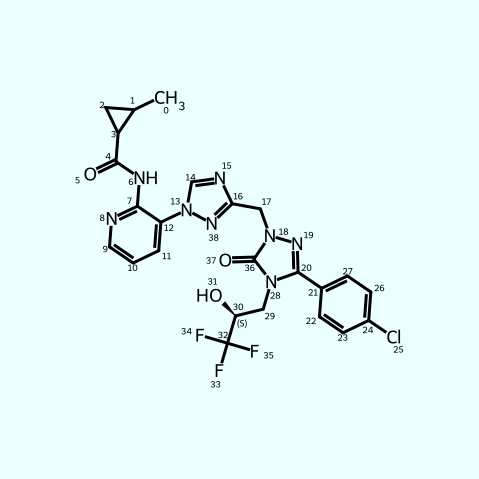 CC1CC1C(=O)Nc1ncccc1-n1cnc(Cn2nc(-c3ccc(Cl)cc3)n(C[C@H](O)C(F)(F)F)c2=O)n1